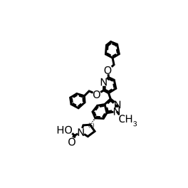 Cn1nc(-c2ccc(OCc3ccccc3)nc2OCc2ccccc2)c2ccc([C@@H]3CCN(C(=O)O)C3)cc21